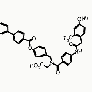 COc1ccc(CC(=O)Nc2ccc(C(=O)N(CC(=O)O)Cc3ccc(OC(=O)c4ccc(-c5ccncc5)cc4)cc3)cc2)c(C(F)(F)F)c1